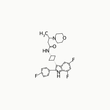 CC(CC(=O)N[C@H]1C[C@@H](c2c(-c3ccc(F)cc3)[nH]c3c(F)cc(F)cc32)C1)N1CCOCC1